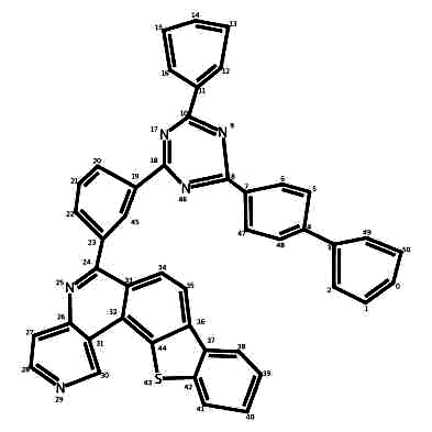 c1ccc(-c2ccc(-c3nc(-c4ccccc4)nc(-c4cccc(-c5nc6ccncc6c6c5ccc5c7ccccc7sc56)c4)n3)cc2)cc1